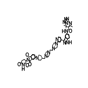 CC1=C(C(=O)Nc2ccc3[nH]nc(-c4ccnc(N5CCN(CCN6CCN(CC7CCN(c8ccc9c(c8)C(=O)N(C8CCC(=O)NC8=O)C9=O)CC7)CC6)CC5)c4)c3c2)C(C)(C)n2nnnc2N1C